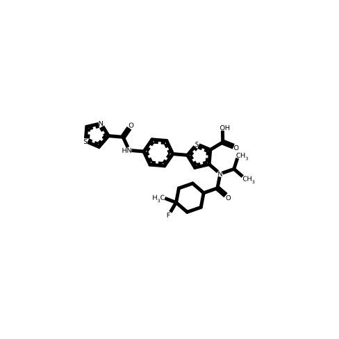 CC(C)N(C(=O)C1CCC(C)(F)CC1)c1cc(-c2ccc(NC(=O)c3cscn3)cc2)sc1C(=O)O